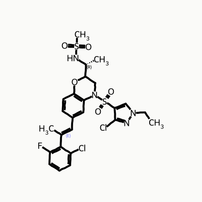 CCn1cc(S(=O)(=O)N2CC([C@@H](C)NS(C)(=O)=O)Oc3ccc(/C=C(\C)c4c(F)cccc4Cl)cc32)c(Cl)n1